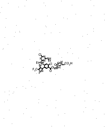 CC(C)OC(=O)c1cc(-c2nn(C)c(C(F)(F)F)c2Br)c(F)cc1Cl.CCNc1nc(Cl)nc(NCC)n1.O=C(O)CNCP(=O)(O)O